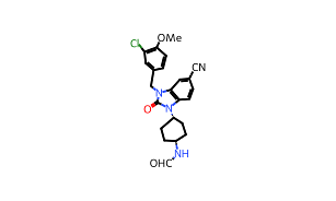 COc1ccc(Cn2c(=O)n([C@H]3CC[C@H](NC=O)CC3)c3ccc(C#N)cc32)cc1Cl